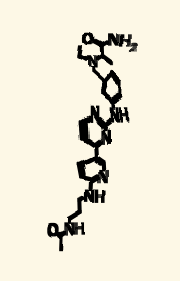 CCN(Cc1cccc(Nc2nccc(-c3ccc(NCCCNC(C)=O)nc3)n2)c1)C(C)C(N)=O